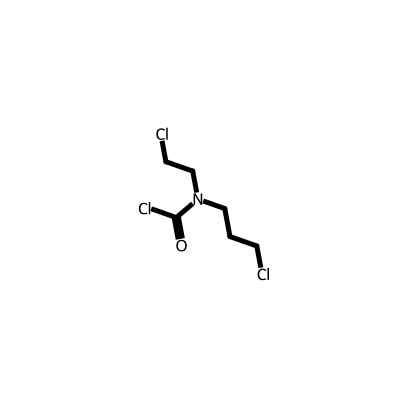 O=C(Cl)N(CCCl)CCCCl